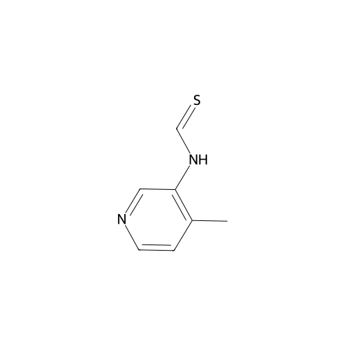 Cc1ccncc1NC=S